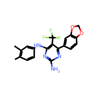 Cc1ccc(Nc2nc(N)nc(-c3ccc4c(c3)OCO4)c2C(F)(F)F)cc1C